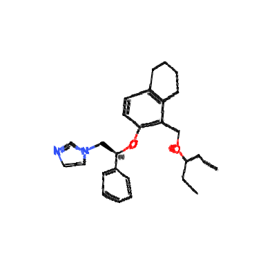 CCC(CC)OCc1c(O[C@H](Cn2ccnc2)c2ccccc2)ccc2c1CCCC2